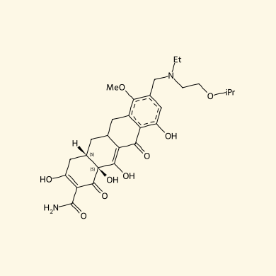 CCN(CCOC(C)C)Cc1cc(O)c2c(c1OC)CC1C[C@H]3CC(O)=C(C(N)=O)C(=O)[C@@]3(O)C(O)=C1C2=O